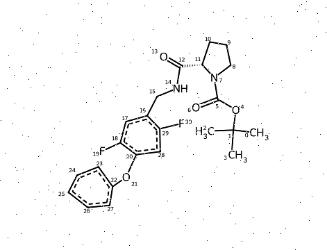 CC(C)(C)OC(=O)N1CCC[C@H]1C(=O)NCc1cc(F)c(Oc2ccccc2)cc1F